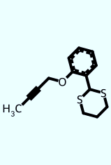 CC#CCOc1ccccc1C1SCCCS1